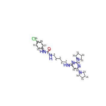 O=C(NCCCCCNc1cc(N2CCCC2)nc(N2CCCC2)n1)Nc1ccc(Cl)cc1